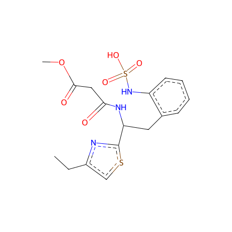 CCc1csc(C(Cc2ccccc2NS(=O)(=O)O)NC(=O)CC(=O)OC)n1